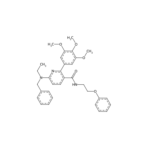 CCN(Cc1ccccc1)c1ccc(C(=O)NCCOc2ccccc2)c(-c2cc(OC)c(OC)c(OC)c2)n1